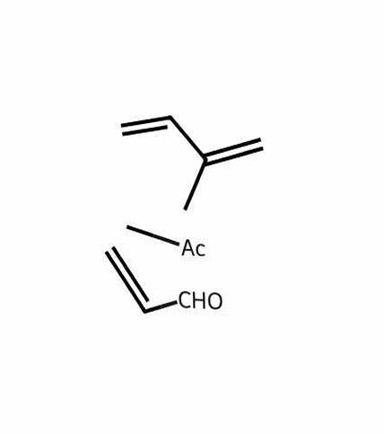 C=CC(=C)C.C=CC=O.CC(C)=O